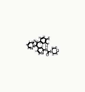 Cc1cc(-c2nc3cccnn3c2-c2ccnc(NC(=O)N3CCOCC3)c2)ccc1F